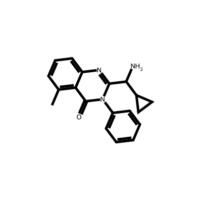 Cc1cccc2nc(C(N)C3CC3)n(-c3ccccc3)c(=O)c12